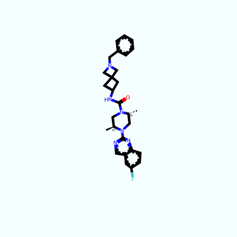 C[C@@H]1CN(c2ncc3cc(F)ccc3n2)[C@@H](C)CN1C(=O)NC1CC2(C1)CN(Cc1ccccc1)C2